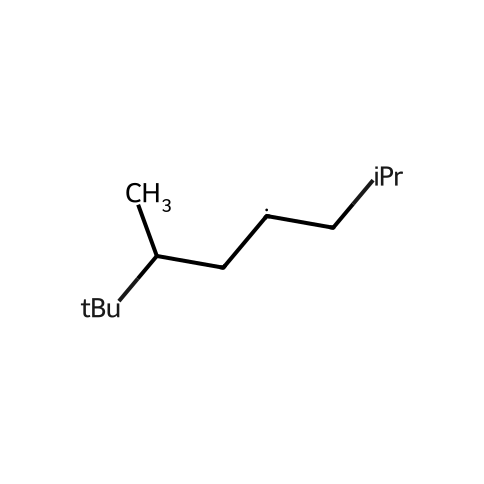 CC(C)C[CH]CC(C)C(C)(C)C